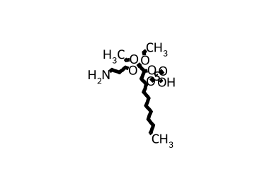 CCCCCCCCCCC(OS(=O)(=O)O)C(OCC)(OCC)OCCCN